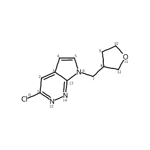 Clc1cc2ccn(CC3CCOC3)c2nn1